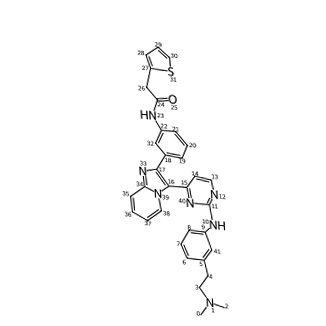 CN(C)CCc1cccc(Nc2nccc(-c3c(-c4cccc(NC(=O)Cc5cccs5)c4)nc4ccccn34)n2)c1